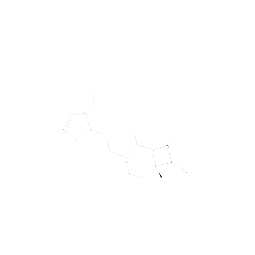 NC1C(=O)N2C(C(=O)O)=C(CSc3nncn3CC(=O)O)CS[C@@H]12